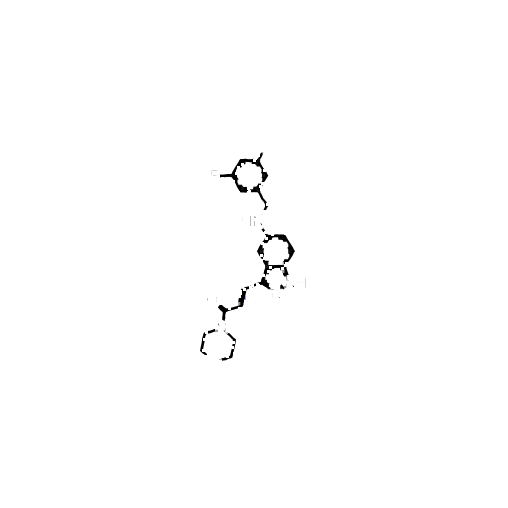 O=C(/C=C/c1n[nH]c2ccc(NCc3cc(F)cc(F)c3)cc12)N1CCOCC1